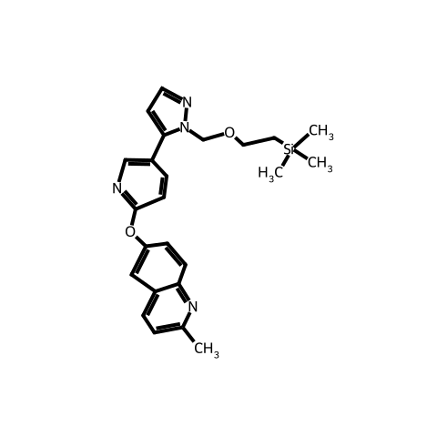 Cc1ccc2cc(Oc3ccc(-c4ccnn4COCC[Si](C)(C)C)cn3)ccc2n1